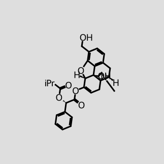 CC(C)C(=O)O[C@H](C(=O)OC1=CC[C@@]2(O)[C@H]3Cc4ccc(CO)c5c4[C@@]2(CCN3C)[C@H]1O5)c1ccccc1